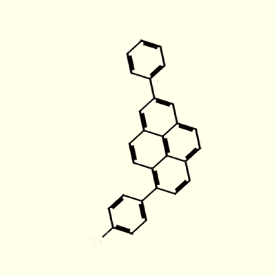 CC(C)(C)c1ccc(-c2ccc3ccc4cc(-c5ccccc5)cc5ccc2c3c45)cc1